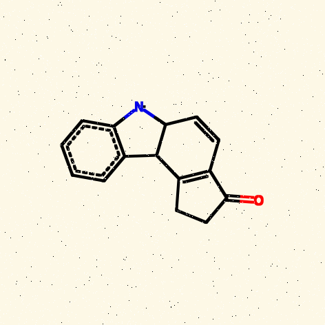 O=C1CCC2=C1C=CC1[N]c3ccccc3C21